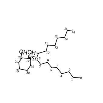 CCCCCCC[CH2][SnH]([CH2]CCCCCCC)[C]1(O)CCCCC1O